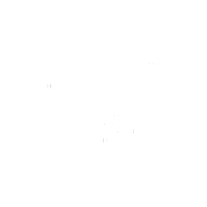 C=C(C)C(=O)OCCc1cc(-c2ccc(C)cc2)ccc1OCC(CO)CO